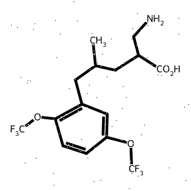 CC(Cc1cc(OC(F)(F)F)ccc1OC(F)(F)F)CC(CN)C(=O)O